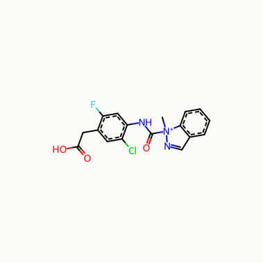 C[N+]1(C(=O)Nc2cc(F)c(CC(=O)O)cc2Cl)N=Cc2ccccc21